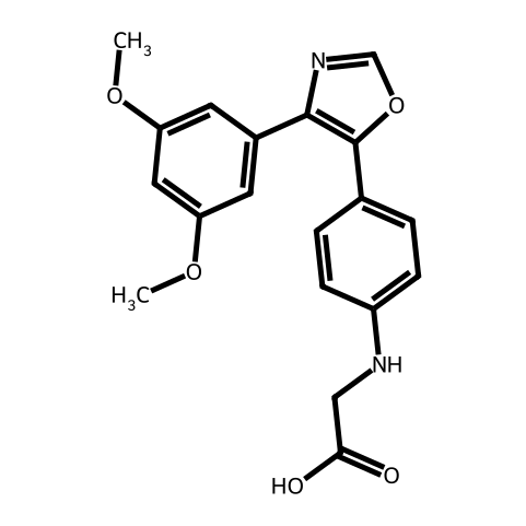 COc1cc(OC)cc(-c2ncoc2-c2ccc(NCC(=O)O)cc2)c1